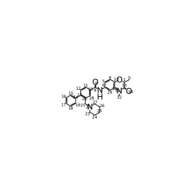 CC1Oc2ccc(NC(=O)c3ccc(-c4ccccc4)c(CN4CCCCC4)c3)cc2N(C)C1=O